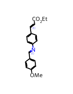 CCOC(=O)/C=C/c1ccc(/N=C/c2ccc(OC)cc2)cc1